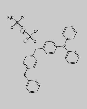 O=S(=O)([O-])C(F)(F)F.O=S(=O)([O-])C(F)(F)F.c1ccc([I+]c2ccc(Cc3ccc([S+](c4ccccc4)c4ccccc4)cc3)cc2)cc1